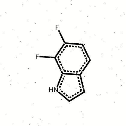 Fc1[c]cc2cc[nH]c2c1F